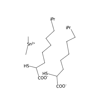 CC(C)CCCCCC(S)C(=O)[O-].CC(C)CCCCCC(S)C(=O)[O-].[CH3][Sn+2][CH3]